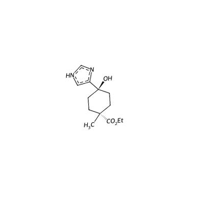 CCOC(=O)[C@]1(C)CC[C@](O)(c2c[nH]cn2)CC1